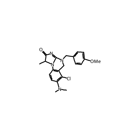 COc1ccc(CN2Cc3c(ccc(N(C)C)c3Cl)N3C2=NC(=O)C3C)cc1